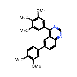 COc1ccc(-c2ccc3ncnc(-c4cc(OC)c(OC)c(OC)c4)c3c2)cc1OC